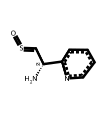 N[C@H](C=S=O)c1ccccn1